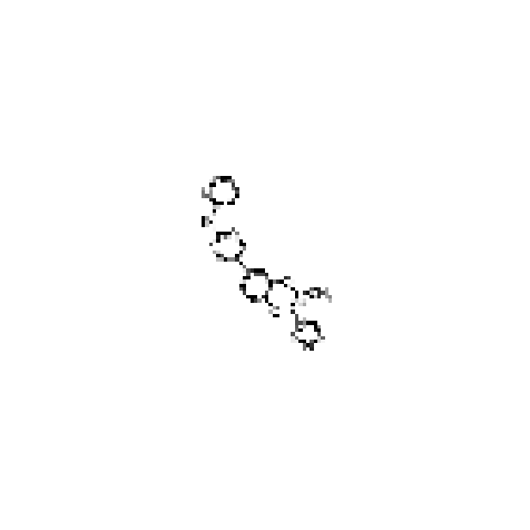 C[C@@H](Cn1cnnn1)Oc1cc(-c2cnc(Nc3ccccn3)nc2)ccc1Cl